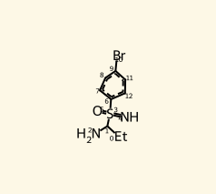 CCC(N)S(=N)(=O)c1ccc(Br)cc1